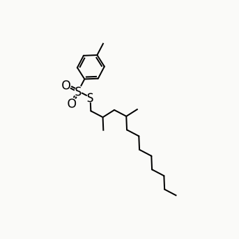 CCCCCCCCC(C)CC(C)CSS(=O)(=O)c1ccc(C)cc1